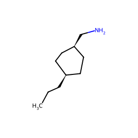 CCC[C@H]1CC[C@@H](CN)CC1